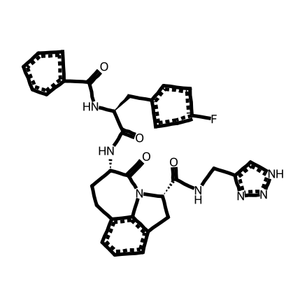 O=C(N[C@@H](Cc1ccc(F)cc1)C(=O)N[C@H]1CCc2cccc3c2N(C1=O)[C@H](C(=O)NCc1c[nH]nn1)C3)c1ccccc1